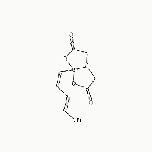 CCC/C=C/C=C\[B-]12OC(=O)C[C+]1CC(=O)O2